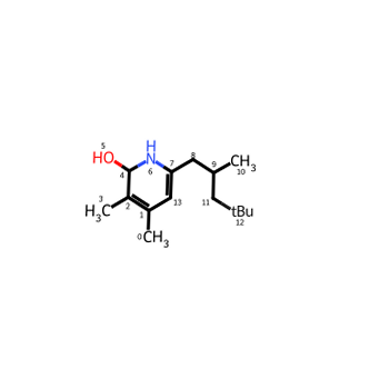 CC1=C(C)C(O)NC(CC(C)CC(C)(C)C)=C1